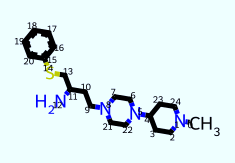 CN1CCC(N2CCN(CCC(N)CSc3ccccc3)CC2)CC1